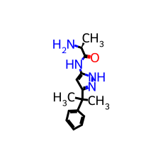 C[C@H](N)C(=O)Nc1cc(C(C)(C)c2ccccc2)n[nH]1